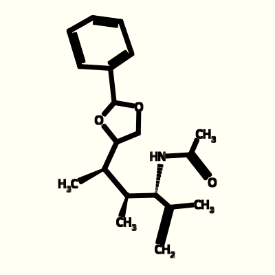 C=C(C)[C@@H](NC(C)=O)[C@@H](C)[C@@H](C)C1COC(c2ccccc2)O1